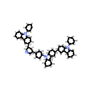 c1ccc(-n2c3ccccc3c3cc(-c4cncc(-c5ccc(-n6c7ccccc7c7cc(-c8ccc9c(c8)c8ccccc8n9-c8ccccc8)ccc76)cc5)c4)ccc32)cc1